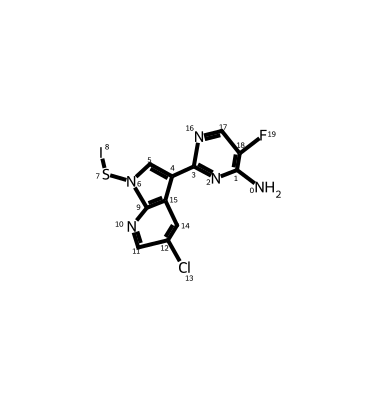 Nc1nc(-c2cn(SI)c3ncc(Cl)cc23)ncc1F